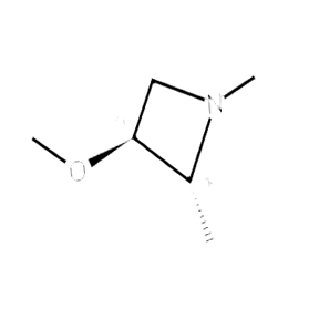 CO[C@H]1CN(C)[C@@H]1C